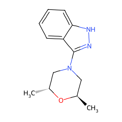 C[C@@H]1CN(c2n[nH]c3ccccc23)C[C@@H](C)O1